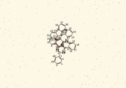 c1ccc(-c2nc(-c3ccccc3)nc(-c3ccccc3N3c4ccccc4C4(c5ccccc5-c5ccccc54)c4ccccc43)n2)cc1